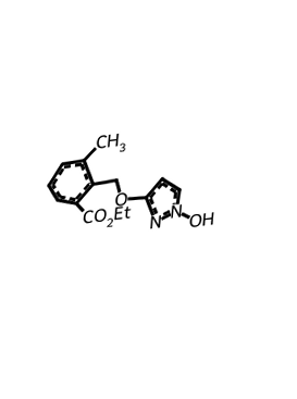 CCOC(=O)c1cccc(C)c1COc1ccn(O)n1